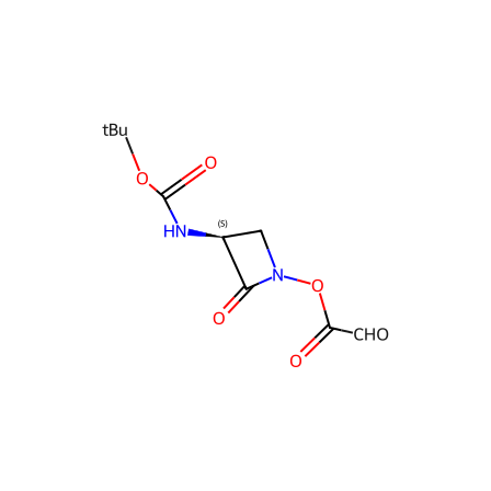 CC(C)(C)OC(=O)N[C@H]1CN(OC(=O)C=O)C1=O